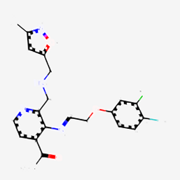 CNC(=O)c1ccnc(CNCc2cc(C)no2)c1/N=C/COc1ccc(F)c(Cl)c1